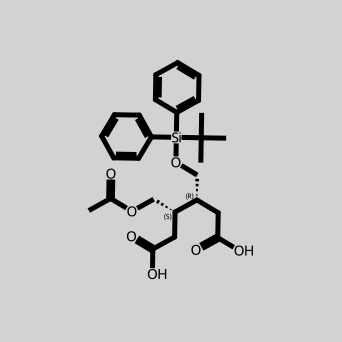 CC(=O)OC[C@@H](CC(=O)O)[C@H](CO[Si](c1ccccc1)(c1ccccc1)C(C)(C)C)CC(=O)O